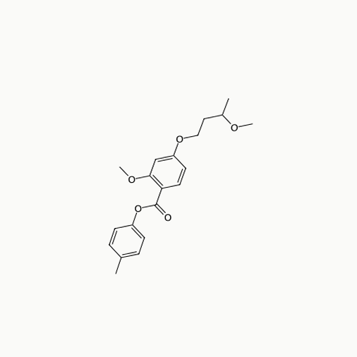 COc1cc(OCCC(C)OC)ccc1C(=O)Oc1ccc(C)cc1